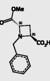 COC(=O)[C@@H]1C[C@@H](C(=O)O)N1Cc1ccccc1